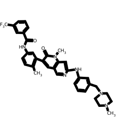 Cc1ccc(NC(=O)c2cccc(C(F)(F)F)c2)cc1-c1cc2cnc(Nc3cccc(CN4CCN(C)CC4)c3)cc2n(C)c1=O